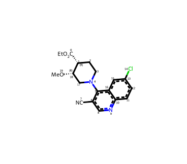 CCOC(=O)[C@@H]1CCN(c2c(C#N)cnc3ccc(Cl)cc23)C[C@@H]1OC